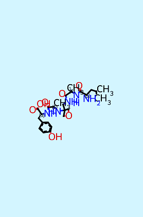 CC(C)C[C@H](N)C(=O)N[C@@H](C)C(=O)NCC1(N[C@@H](C)C(=O)N[C@@H](Cc2ccc(O)cc2)C(=O)O)COC1